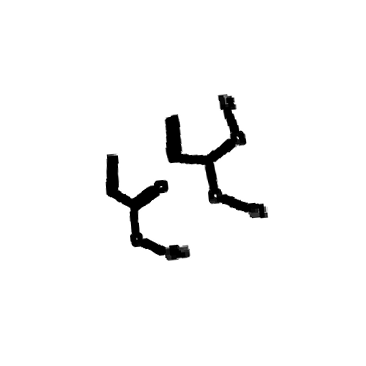 C=CC(=O)OC(C)(C)C.C=CC(OCC)OCC